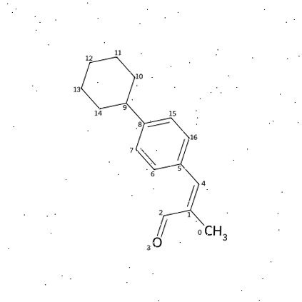 CC(C=O)=Cc1ccc(C2CCCCC2)cc1